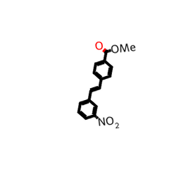 COC(=O)c1ccc(/C=C/c2cccc([N+](=O)[O-])c2)cc1